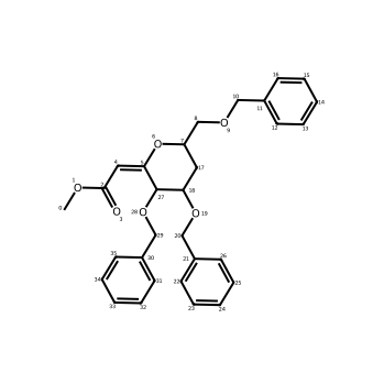 COC(=O)/C=C1/OC(COCc2ccccc2)CC(OCc2ccccc2)C1OCc1ccccc1